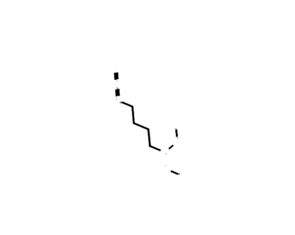 CCO[SiH](CCCCN=C=S)OCC